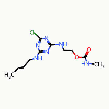 CC=CCNc1nc(Cl)nc(NCCOC(=O)NC)n1